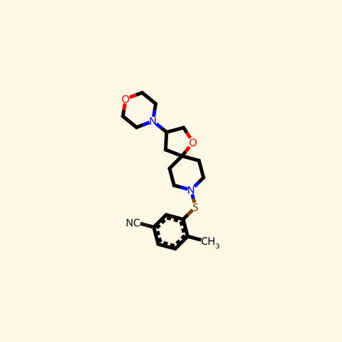 Cc1ccc(C#N)cc1SN1CCC2(CC1)CC(N1CCOCC1)CO2